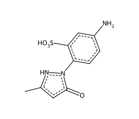 Cc1cc(=O)n(-c2ccc(N)cc2S(=O)(=O)O)[nH]1